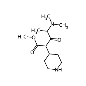 COC(=O)C(C(=O)C(C)N(C)C)C1CCNCC1